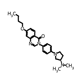 CCCCOc1ccc2c(=O)n(-c3ccc(N4CC[C@@H](N(C)C)C4)cc3)cnc2c1